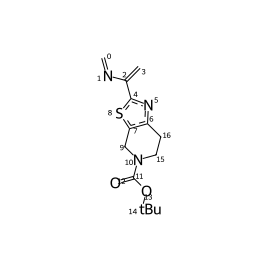 C=NC(=C)c1nc2c(s1)CN(C(=O)OC(C)(C)C)CC2